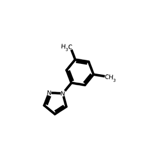 Cc1cc(C)cc(-n2cccn2)c1